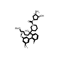 CCOc1cc(-c2c(F)cccc2[C@](O)(CCCCOC)C2CCCN(C(=O)[C@H]3C[C@@H](N)[C@@H](O)C3)C2)cc(C(F)(F)F)c1